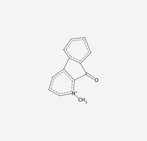 C[n+]1cccc2c1C(=O)c1ccccc1-2